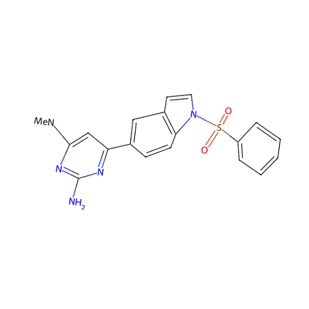 CNc1cc(-c2ccc3c(ccn3S(=O)(=O)c3ccccc3)c2)nc(N)n1